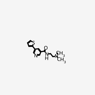 CN(C)CCNC(=O)c1cncc(-c2cccs2)c1